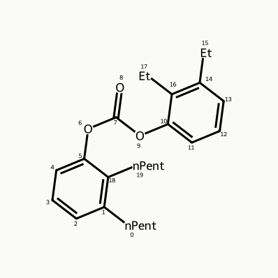 CCCCCc1cccc(OC(=O)Oc2cccc(CC)c2CC)c1CCCCC